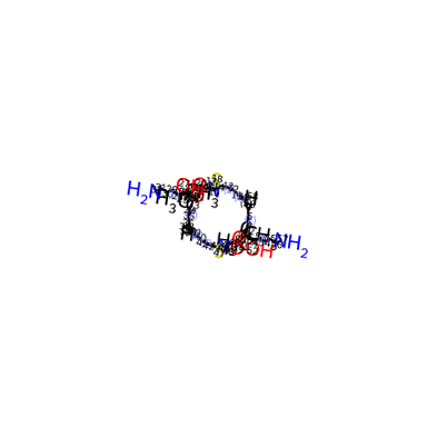 CC(C)([C@@H]1C/C=C\C2C[C@@H]2/C=C/C=C\c2nc(cs2)C(=O)O[C@H](C(C)(C)[C@@H](O)/C=C/CCN)C/C=C\C2=C[C@H]2/C=C/C=C\c2nc(cs2)C(=O)O1)[C@@H](O)/C=C/CCN